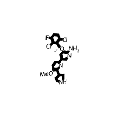 COc1ccc(-c2cnc(N)c(O[C@H](C)c3c(Cl)ccc(F)c3Cl)c2)nc1C1=CCNCC1